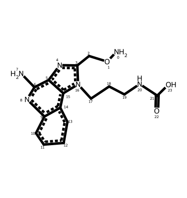 NOCc1nc2c(N)nc3ccccc3c2n1CCCNC(=O)O